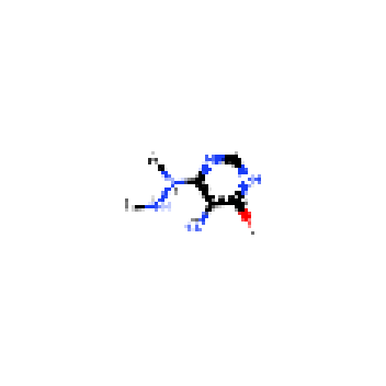 CCNN(c1nc[nH]c(=O)c1N)C(C)C